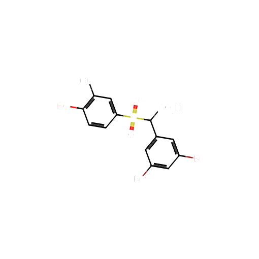 CC(C)c1cc(S(=O)(=O)C(C(=O)O)c2cc(Br)cc(Br)c2)ccc1O